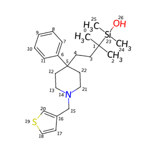 CC(C)(CCC1(c2ccccc2)CCN(Cc2ccsc2)CC1)[Si](C)(C)O